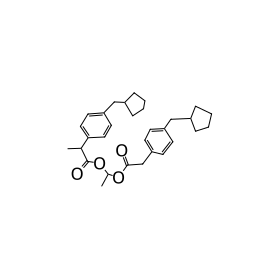 CC(OC(=O)Cc1ccc(CC2CCCC2)cc1)OC(=O)C(C)c1ccc(CC2CCCC2)cc1